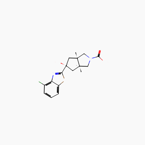 O=C(O)N1C[C@@H]2C[C@](O)(c3nc4c(F)cccc4s3)C[C@@H]2C1